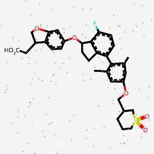 Cc1cc(OCC2CCCS(=O)(=O)C2)cc(C)c1-c1ccc(F)c2c1CCC2Oc1ccc2c(c1)OCC2CC(=O)O